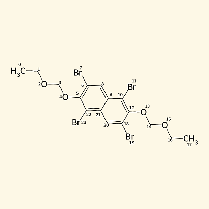 CCOCOc1c(Br)cc2c(Br)c(OCOCC)c(Br)cc2c1Br